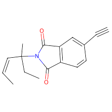 C#Cc1ccc2c(c1)C(=O)N(C(C)(/C=C\C)CC)C2=O